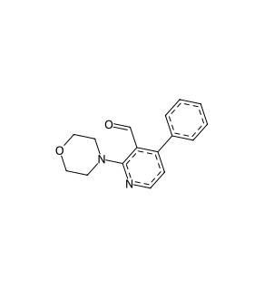 O=Cc1c(-c2ccccc2)ccnc1N1CCOCC1